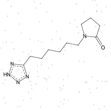 O=C1CCCN1CCCCCCc1nn[nH]n1